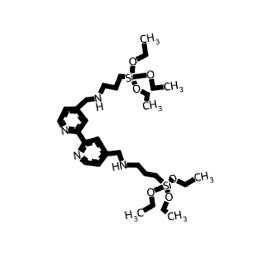 CCO[Si](CCCNCc1ccnc(-c2cc(CNCCC[Si](OCC)(OCC)OCC)ccn2)c1)(OCC)OCC